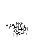 C=CC(=O)NC(C(C)(C)C)S(=O)(=O)O.[KH]